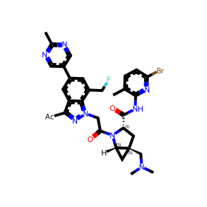 CC(=O)c1nn(CC(=O)N2[C@H]3C[C@@]3(CN(C)C)C[C@H]2C(=O)Nc2nc(Br)ccc2C)c2c(CF)cc(-c3cnc(C)nc3)cc12